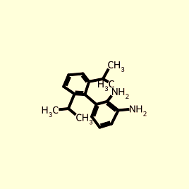 CC(C)c1cccc(C(C)C)c1-c1cccc(N)c1N